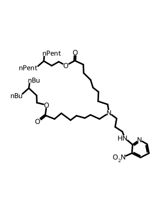 CCCCCC(CCCCC)CCOC(=O)CCCCCCCN(CCCCCCCC(=O)OCCC(CCCC)CCCC)CCCNc1ncccc1[N+](=O)[O-]